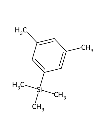 Cc1cc(C)cc([Si](C)(C)C)c1